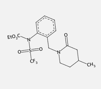 CCOC(=O)N(c1ccccc1CN1CCC(C)CC1=O)S(=O)(=O)C(F)(F)F